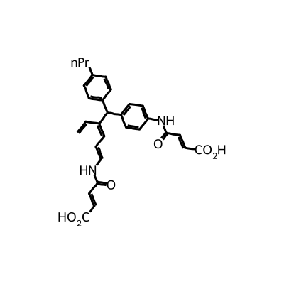 C=C/C(=C\C=C\NC(=O)/C=C/C(=O)O)C(c1ccc(CCC)cc1)c1ccc(NC(=O)/C=C/C(=O)O)cc1